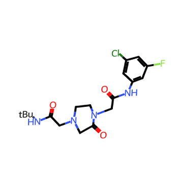 CC(C)(C)NC(=O)CN1CCN(CC(=O)Nc2cc(F)cc(Cl)c2)C(=O)C1